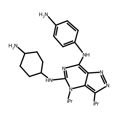 CC(C)c1nnc2c(Nc3ccc(N)cc3)nc(NC3CCC(N)CC3)n(C(C)C)c1-2